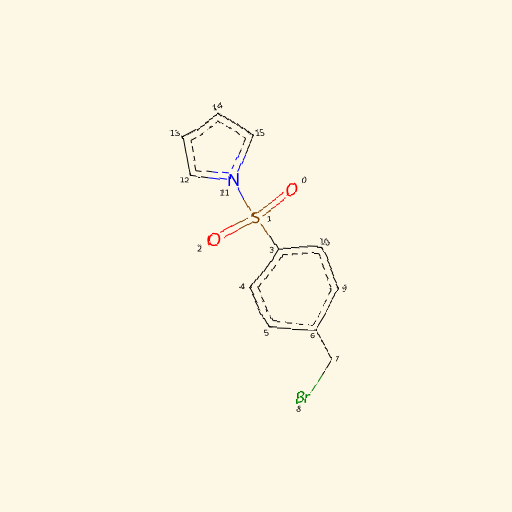 O=S(=O)(c1ccc(CBr)cc1)n1cccc1